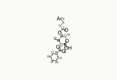 CC(=O)CCC(=O)O[C@@H]1C(C)O[C@@H](O)C(OC(=O)c2ccccc2)[C@H]1C